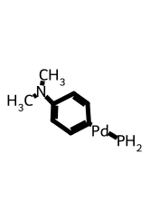 CN(C)c1cc[c]([Pd][PH2])cc1